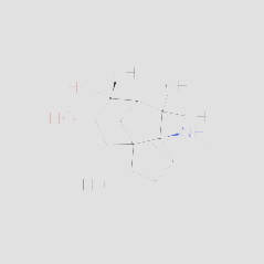 C[C@H]1CC[C@@]2(N)C(C)(C)C3CC12C[C@H](O)[C@]3(C)O